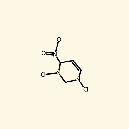 O=[N+]([O-])C1C=CN(Cl)CN1Cl